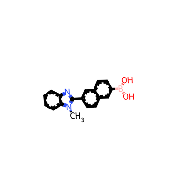 Cn1c(-c2ccc3cc(B(O)O)ccc3c2)nc2ccccc21